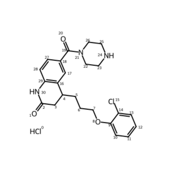 Cl.O=C1CC(CCCOc2ccccc2Cl)c2cc(C(=O)N3CCNCC3)ccc2N1